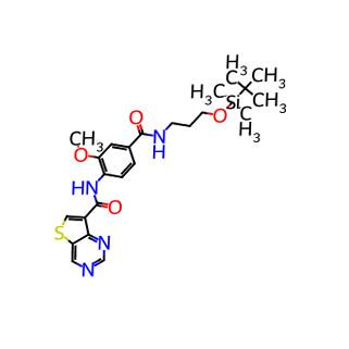 COc1cc(C(=O)NCCCO[Si](C)(C)C(C)(C)C)ccc1NC(=O)c1csc2cncnc12